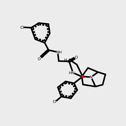 CCC(c1ccc(Cl)cc1)N1C2CCC1CC(NC(=O)CNC(=O)c1cccc(Cl)c1)C2